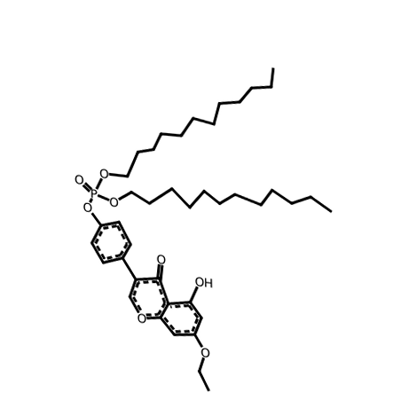 CCCCCCCCCCCCOP(=O)(OCCCCCCCCCCCC)Oc1ccc(-c2coc3cc(OCC)cc(O)c3c2=O)cc1